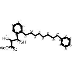 COC(=O)C(O)C(S)c1ccccc1CCCCCCCCc1ccccc1